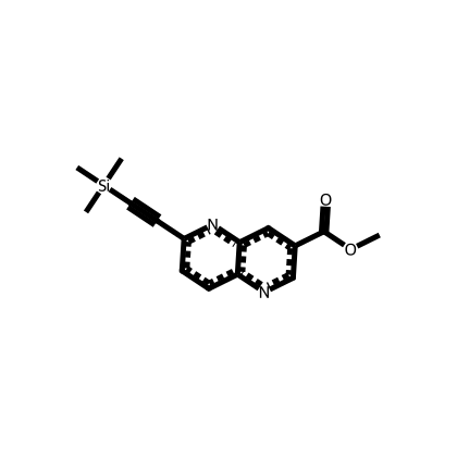 COC(=O)c1cnc2ccc(C#C[Si](C)(C)C)nc2c1